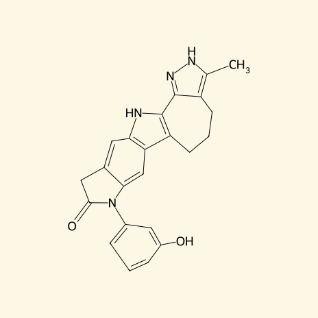 Cc1[nH]nc2c1CCCc1c-2[nH]c2cc3c(cc12)N(c1cccc(O)c1)C(=O)C3